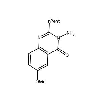 CCCCCc1nc2ccc(OC)cc2c(=O)n1N